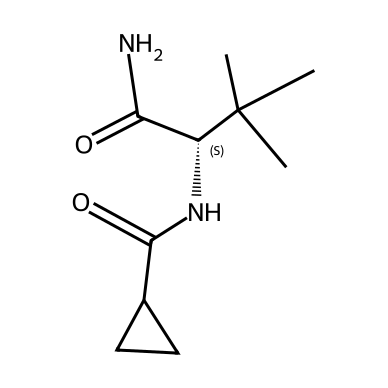 CC(C)(C)[C@H](NC(=O)C1CC1)C(N)=O